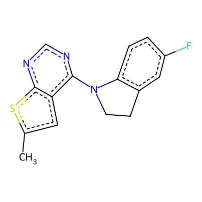 Cc1cc2c(N3CCc4cc(F)ccc43)ncnc2s1